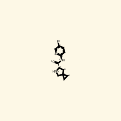 O=C(Nc1ccc(F)cn1)[C@@H]1CC2(CC2)CN1